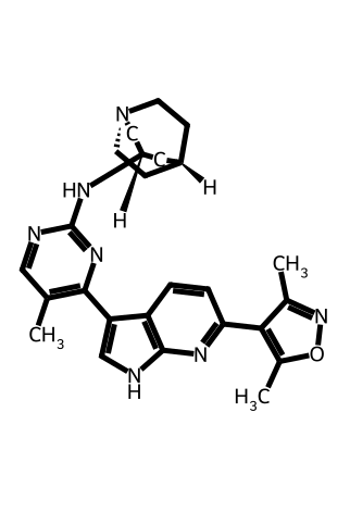 Cc1cnc(N[C@H]2C[C@H]3CC[N@](CC3)C2)nc1-c1c[nH]c2nc(-c3c(C)noc3C)ccc12